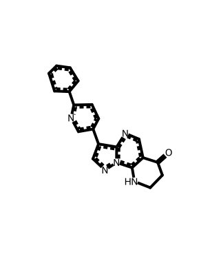 O=C1CCNc2c1cnc1c(-c3ccc(-c4ccccc4)nc3)cnn21